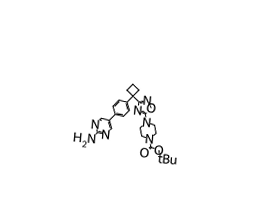 CC(C)(C)OC(=O)N1CCN(c2nc(C3(c4ccc(-c5cnc(N)nc5)cc4)CCC3)no2)CC1